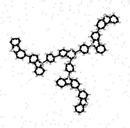 c1ccc2c(c1)oc1ccc(-c3ccc4c(c3)c3ccccc3n4-c3ccc(-c4ccc5nc(-c6ccc(-n7c8ccccc8c8cc(-c9ccc%10oc%11ccccc%11c%10c9)ccc87)cc6)nc(-c6ccc(-n7c8ccccc8c8cc(-c9ccc%10oc%11ccccc%11c%10c9)ccc87)cc6)c5c4)cc3)cc12